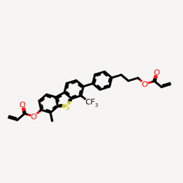 C=CC(=O)OCCCc1ccc(-c2ccc3c(sc4c(C)c(OC(=O)C=C)ccc43)c2C(F)(F)F)cc1